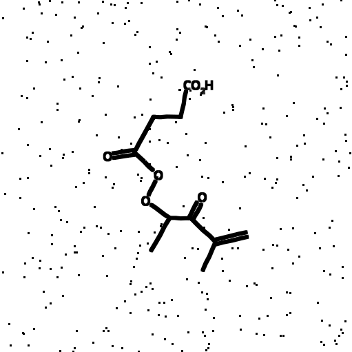 C=C(C)C(=O)C(C)OOC(=O)CCC(=O)O